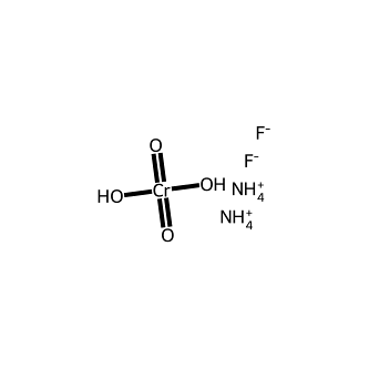 [F-].[F-].[NH4+].[NH4+].[O]=[Cr](=[O])([OH])[OH]